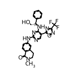 CN1CCc2cc(Nc3ncc(-c4nc(C(F)(F)F)no4)c(N[C@H](CO)c4ccccc4)n3)ccc2C1=O